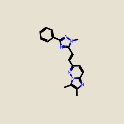 Cc1nc2ccc(/C=C/c3nc(-c4ccccc4)nn3C)nn2c1C